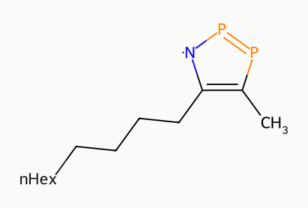 CCCCCCCCCCC1=C(C)P=P[N]1